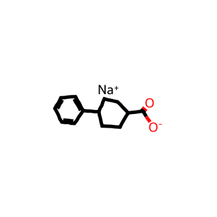 O=C([O-])C1CCC(c2ccccc2)CC1.[Na+]